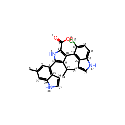 Cc1cc(-c2[nH]c(C(=O)O)c(-c3c(Cl)ccc4[nH]ccc34)c2C(C)C)c2cc[nH]c2c1